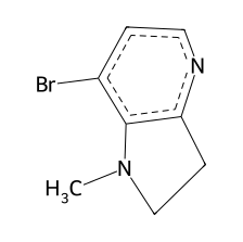 CN1CCc2nccc(Br)c21